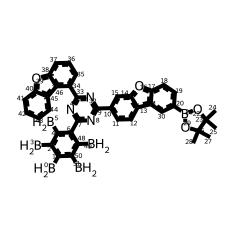 Bc1c(B)c(B)c(-c2nc(-c3ccc4c(c3)oc3ccc(B5OC(C)(C)C(C)(C)O5)cc34)nc(-c3cccc4oc5ccccc5c34)n2)c(B)c1B